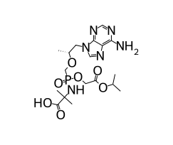 CC(C)OC(=O)COP(=O)(CO[C@H](C)Cn1cnc2c(N)ncnc21)NC(C)(C)C(=O)O